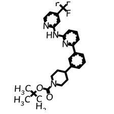 CC(C)(C)OC(=O)N1CCC(c2cccc(-c3cccc(Nc4cc(C(F)(F)F)ccn4)n3)c2)CC1